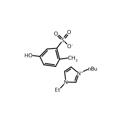 CCCC[n+]1ccn(CC)c1.Cc1ccc(O)cc1S(=O)(=O)[O-]